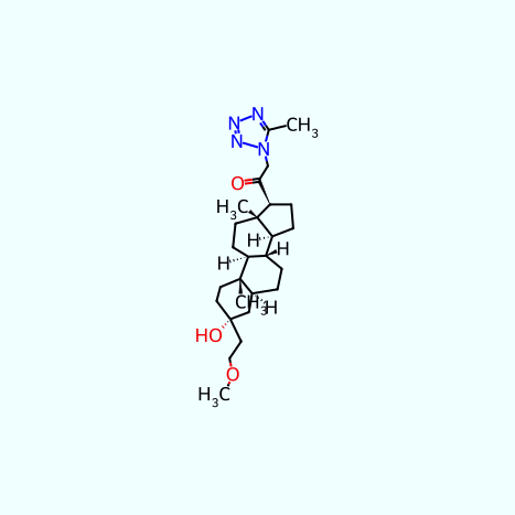 COCC[C@@]1(O)CC[C@@]2(C)[C@@H](CC[C@@H]3[C@@H]2CC[C@]2(C)[C@@H](C(=O)Cn4nnnc4C)CC[C@@H]32)C1